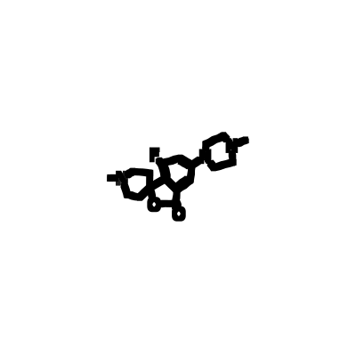 CN1CCN(c2cc(F)c3c(c2)C(=O)OC32CCN(C)CC2)CC1